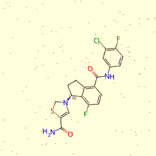 NC(=O)C1=CN([C@H]2CCc3c(C(=O)Nc4ccc(F)c(Cl)c4)ccc(F)c32)CS1